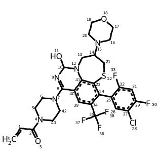 C=CC(=O)N1CCN(C2=NC(O)N3CC(N4CCOCC4)CSc4c(-c5cc(Cl)c(F)cc5F)c(C(F)(F)F)cc2c43)CC1